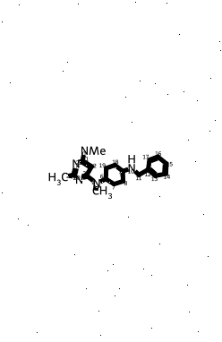 CNc1cc(N(C)C2CCC(NCc3ccccc3)CC2)nc(C)n1